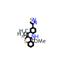 COc1cccc2c1[C@H]1Nc3ccc(-c4csnn4)cc3C(C)(C)[C@H]1CS2